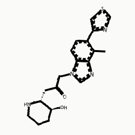 Cc1c(-c2cscn2)ccc2c1ncn2CC(=O)C[C@H]1NCCC[C@@H]1O